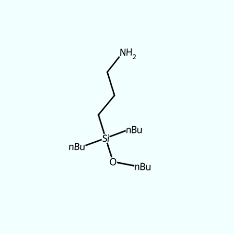 CCCCO[Si](CCCC)(CCCC)CCCN